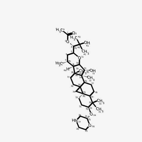 CC(=O)O[C@@H](C1C[C@@H](C)[C@H]2C(O1)[C@H](O)[C@@]1(C)C3CCC4C(C)(C)[C@@H](O[C@H]5CNCCO5)CC[C@@]45CC35CC[C@]21C)C(C)(C)O